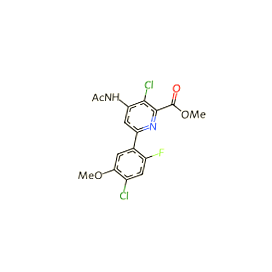 COC(=O)c1nc(-c2cc(OC)c(Cl)cc2F)cc(NC(C)=O)c1Cl